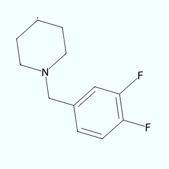 Fc1ccc(CN2CC[CH]CC2)cc1F